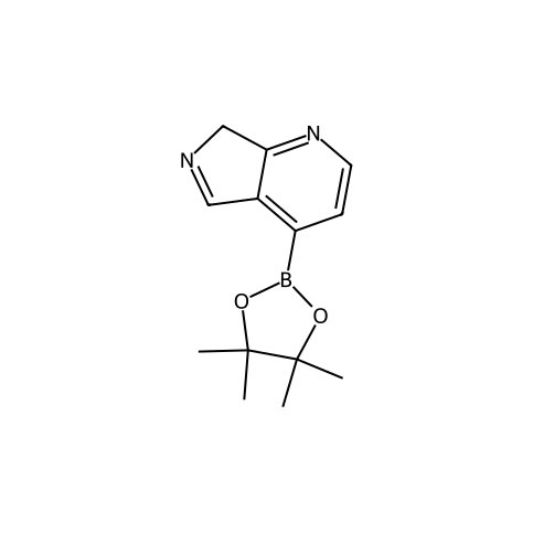 CC1(C)OB(c2ccnc3c2C=NC3)OC1(C)C